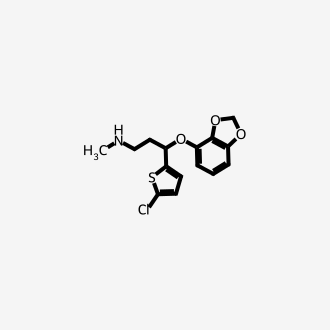 CNCCC(Oc1cccc2c1OCO2)c1ccc(Cl)s1